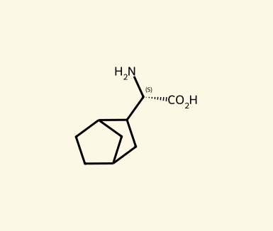 N[C@H](C(=O)O)C1CC2CCC1C2